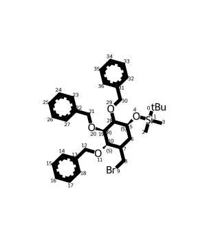 CC(C)(C)[Si](C)(C)O[C@H]1CC(CBr)[C@H](OCc2ccccc2)[C@@H](OCc2ccccc2)C1OCc1ccccc1